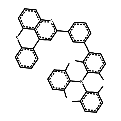 Cc1cccc(C)c1B(c1c(C)cccc1C)c1c(C)ccc(-c2cccc(-c3cc4c5c(cccc5n3)Sc3ccccc3-4)c2)c1C